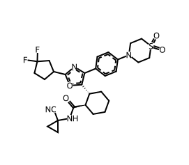 N#CC1(NC(=O)[C@@H]2CCCC[C@H]2c2oc(C3CCC(F)(F)C3)nc2-c2ccc(N3CCS(=O)(=O)CC3)cc2)CC1